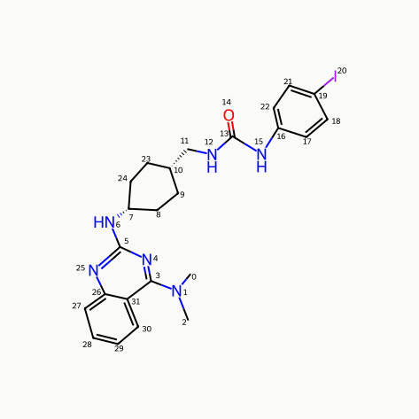 CN(C)c1nc(N[C@H]2CC[C@@H](CNC(=O)Nc3ccc(I)cc3)CC2)nc2ccccc12